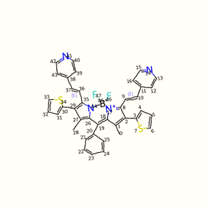 CC1=C(c2cccs2)C(/C=C/c2ccncc2)=[N+]2C1=C(c1ccccc1)c1c(C)c(-c3cccs3)c(/C=C/c3ccncc3)n1[B-]2(F)F